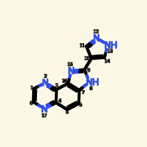 c1cnc2c(ccc3[nH]c(-c4cn[nH]c4)nc32)n1